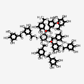 C=C(Oc1cc(C(=O)O[C@H]2O[C@@H](COC(=O)c3cc(O)c(O)c(OC(=O)c4cc(O)c(O)c(O)c4)c3)[C@@H](OC(=O)c3cc(O)c(O)c(OC(=O)c4cc(O)c(O)c(O)c4)c3)[C@H](OC(=O)c3cc(O)c(O)c(OC(=O)c4cc(O)c(O)c(O)c4)c3)[C@H]2OC(=O)c2cc(O)c(O)c(OC(=O)c3cc(O)c(O)c(O)c3)c2)cc(O)c1O)c1cc(O)c(O)c(O)c1